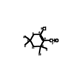 CC1(C)CC(Cl)=C(C=O)C(C)(C)C1